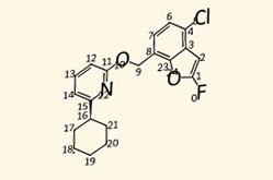 Fc1cc2c(Cl)ccc(COc3cccc([C@@H]4C[CH]CCC4)n3)c2o1